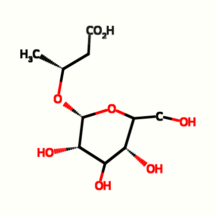 C[C@H](CC(=O)O)O[C@@H]1OC(CO)[C@H](O)C(O)[C@@H]1O